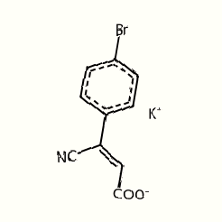 N#CC(=CC(=O)[O-])c1ccc(Br)cc1.[K+]